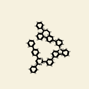 c1ccc(-c2ccc(-c3cc(-c4ccccc4)nc(-c4cccc(-c5ccc6c(c5)c5ccccc5n6-c5cccc(-c6ccc7c(c6)CCC(c6ccccc6)c6ccccc6-7)c5)c4)n3)cc2)cc1